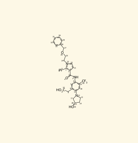 CC(C)c1c(C(=O)Nc2cc(CC(=O)O)c(N3CC[C@@H](O)C3)cc2C(F)(F)F)ccn1CCOCc1ccccc1